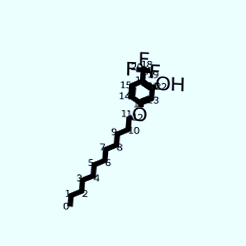 CCCCCCCCCCCCOc1ccc(C(F)(F)F)c(O)c1